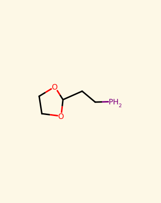 PCCC1OCCO1